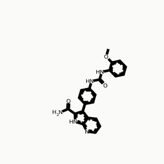 COc1ccccc1NC(=O)Nc1ccc(-c2c(C(N)=O)[nH]c3ncccc23)cc1